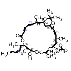 C=C/C=C\[C@H](C)[C@@H]1OC(=O)/C=C\C=C\[C@@H](C)[C@@H]2C[C@@H](/C=C\[C@H](C)[C@H](OC(C)=O)[C@@H](C)C[C@@H](C)CC[C@@H](O)[C@@H]1C)OC(C)(C)O2